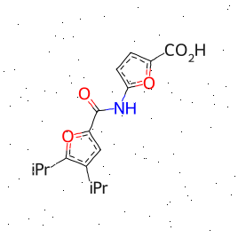 CC(C)c1cc(C(=O)Nc2ccc(C(=O)O)o2)oc1C(C)C